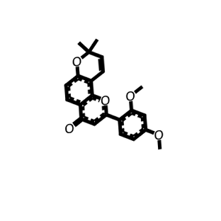 COc1ccc(-c2cc(=O)c3ccc4c(c3o2)C=CC(C)(C)O4)c(OC)c1